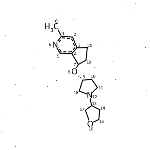 Cc1cc2c(cn1)C(O[C@@H]1CCN(C3CCOC3)C1)CC2